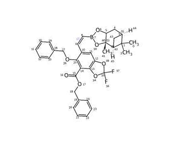 CC1(C)[C@@H]2CC3OB(/C=C\c4cc5c(c(C(=O)OCc6ccccc6)c4OCc4ccccc4)OC(F)(F)O5)O[C@@]3(C)[C@H]1C2